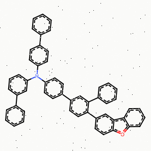 c1ccc(-c2ccc(N(c3ccc(-c4ccc(-c5ccc6oc7ccccc7c6c5)c(-c5ccccc5)c4)cc3)c3cccc(-c4ccccc4)c3)cc2)cc1